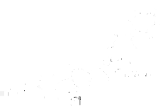 CCCCCCCCCOC1(OC(=O)c2ccc(-c3ccc(CCCCCC)cc3)c(Cl)c2)C=CC(c2ccccc2)=CC1